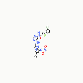 CN1C(=O)CN(c2cc(C3CC3)cn3cc(CNc4cc(NC(=O)[C@H]5C[C@@]5(F)c5cccc(Cl)c5)ncn4)nc23)C1=O